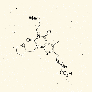 COCCn1c(=O)c2c(C)c(C=NNC(=O)O)sc2n(CC2CCCO2)c1=O